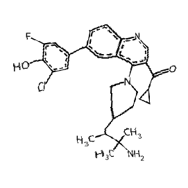 CC(C1CCN(c2c(C(=O)C3CC3)cnc3ccc(-c4cc(F)c(O)c(Cl)c4)cc23)CC1)C(C)(C)N